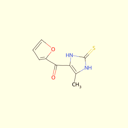 Cc1[nH]c(=S)[nH]c1C(=O)c1ccco1